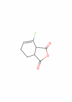 O=C1OC(=O)C2C(F)=CCCC12